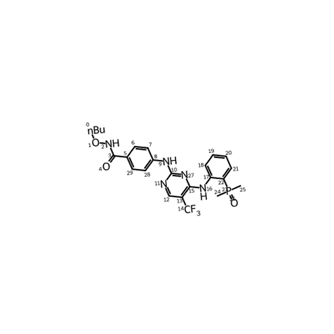 CCCCONC(=O)c1ccc(Nc2ncc(C(F)(F)F)c(Nc3ccccc3P(C)(C)=O)n2)cc1